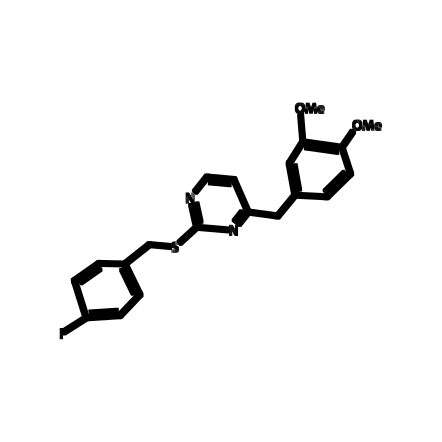 COc1ccc(Cc2ccnc(SCc3ccc(I)cc3)n2)cc1OC